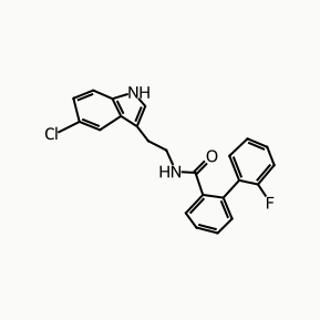 O=C(NCCc1c[nH]c2ccc(Cl)cc12)c1ccccc1-c1ccccc1F